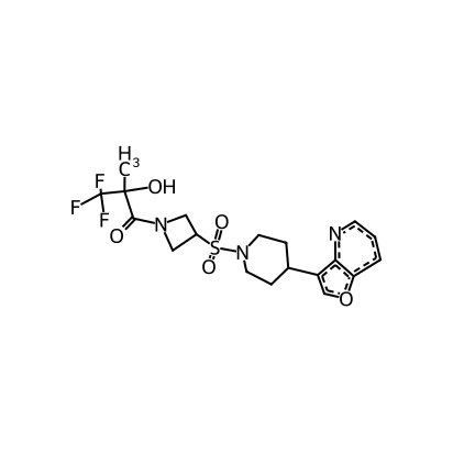 CC(O)(C(=O)N1CC(S(=O)(=O)N2CCC(c3coc4cccnc34)CC2)C1)C(F)(F)F